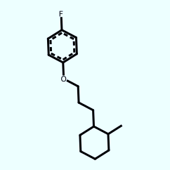 CC1CCCCC1CCCOc1ccc(F)cc1